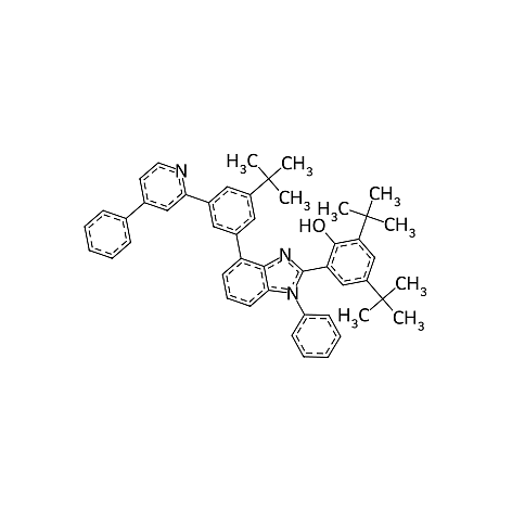 CC(C)(C)c1cc(-c2cc(-c3ccccc3)ccn2)cc(-c2cccc3c2nc(-c2cc(C(C)(C)C)cc(C(C)(C)C)c2O)n3-c2ccccc2)c1